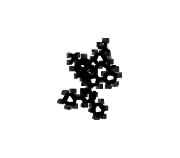 CC(C)(C)c1cc(C(C)(C)C)c2c(c1)c1cc(C(C)(C)C)cc3c1n2-c1c(-c2ccccc2)cc(-c2nc(-c4ccccc4)cc(-c4ccccc4)n2)cc1-c1cccc(c1)C3(C)C